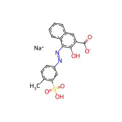 Cc1ccc(N=Nc2c(O)c(C(=O)[O-])cc3ccccc23)cc1S(=O)(=O)O.[Na+]